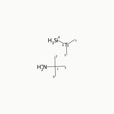 CC(C)(C)N.[CH3][Ti]([CH3])[SiH3]